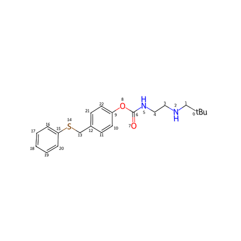 CC(C)(C)CNCCNC(=O)Oc1ccc(CSc2ccccc2)cc1